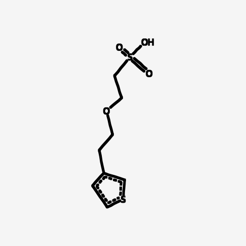 O=S(=O)(O)CCOCCc1ccsc1